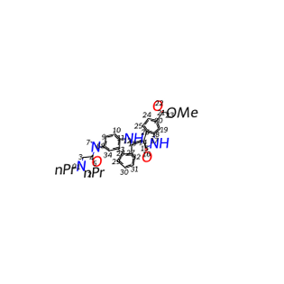 CCCN(CCC)CC(=O)N(C)c1ccc(NC(=C2C(=O)Nc3cc(C(=O)OC)ccc32)c2ccccc2)cc1